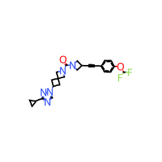 O=C(N1CC(C#Cc2ccc(OC(F)F)cc2)C1)N1CC2(CC(n3cnc(C4CC4)n3)C2)C1